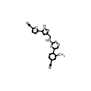 Cc1cc(C#N)ccc1-c1cnnc(NCc2cc(-c3ccc(C#N)o3)[nH]n2)n1